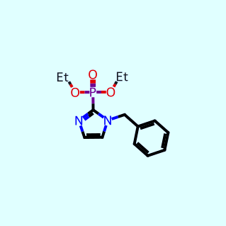 CCOP(=O)(OCC)c1nccn1Cc1ccccc1